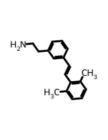 Cc1cccc(C)c1C=Cc1cccc(CCN)c1